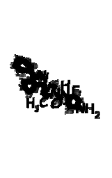 C[C@H]1CN(c2nnc(-c3ccccc3)c3ccccc23)CCN1C(=O)Nc1ccc(N)cc1F